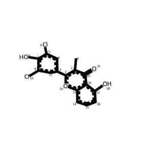 Cc1c(-c2cc(Cl)c(O)c(Cl)c2)oc2cccc(O)c2c1=O